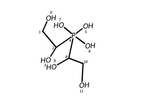 OCC(O)P(O)(O)(O)C(O)CO